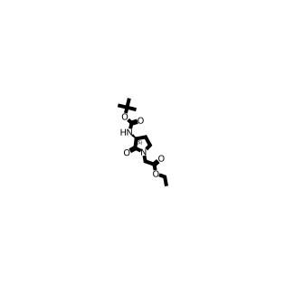 CCOC(=O)CN1CC[C@H](NC(=O)OC(C)(C)C)C1=O